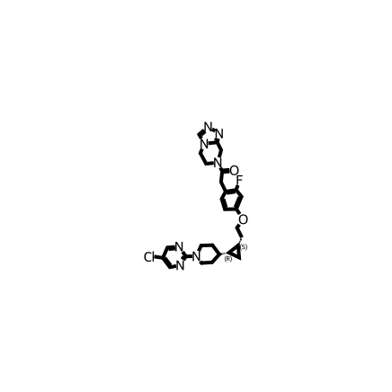 O=C(Cc1ccc(OCC[C@@H]2C[C@@H]2C2CCN(c3ncc(Cl)cn3)CC2)cc1F)N1CCn2cnnc2C1